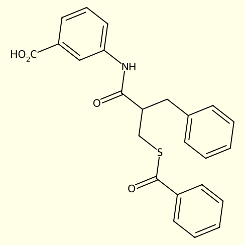 O=C(O)c1cccc(NC(=O)C(CSC(=O)c2ccccc2)Cc2ccccc2)c1